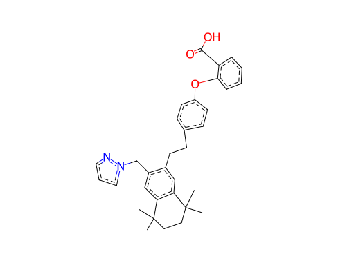 CC1(C)CCC(C)(C)c2cc(Cn3cccn3)c(CCc3ccc(Oc4ccccc4C(=O)O)cc3)cc21